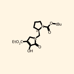 CCOC(=O)C1=C(O)C(=O)N(C[C@H]2CCCN2C(=O)OC(C)(C)C)C1